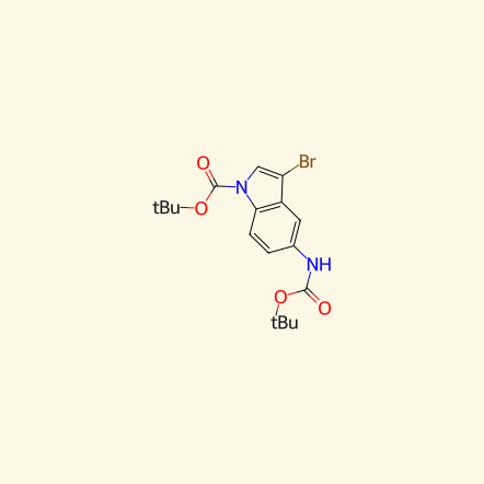 CC(C)(C)OC(=O)Nc1ccc2c(c1)c(Br)cn2C(=O)OC(C)(C)C